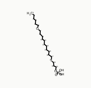 CCCCCCOCCCCCCCCCCCSCCCOP(=O)(O)O